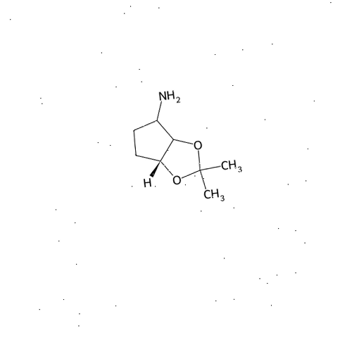 CC1(C)OC2C(N)CC[C@H]2O1